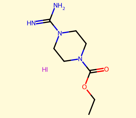 CCOC(=O)N1CCN(C(=N)N)CC1.I